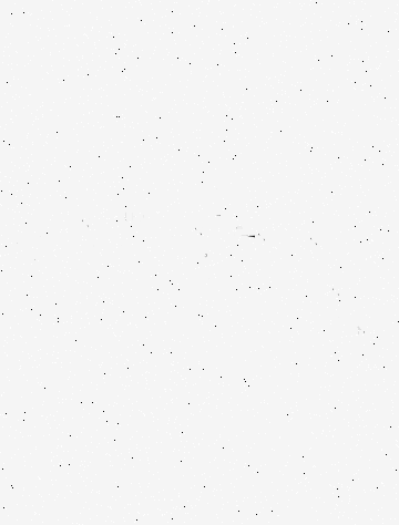 Nc1nc(C(=NO)C(=O)N[C@@H]2C(=O)N3C(C(=O)O)=C(C=C4CCN(CC5CC5)C4=O)CS[C@H]23)cs1